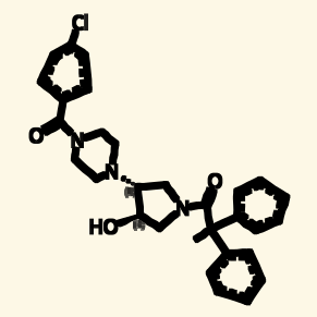 CC(C(=O)N1C[C@@H](O)[C@H](N2CCN(C(=O)c3ccc(Cl)cc3)CC2)C1)(c1ccccc1)c1ccccc1